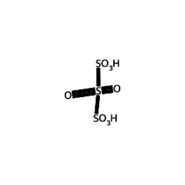 O=S(=O)(O)S(=O)(=O)S(=O)(=O)O